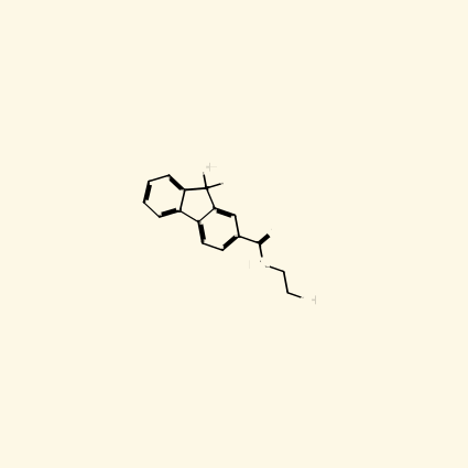 O=C(NCCO)c1ccc2c(c1)C(O)(C(F)(F)F)c1ccccc1-2